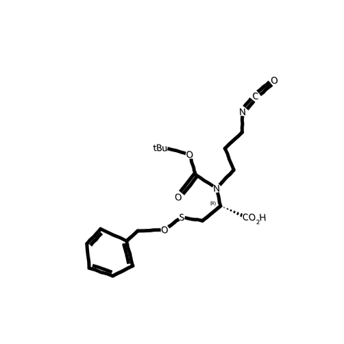 CC(C)(C)OC(=O)N(CCCN=C=O)[C@@H](CSOCc1ccccc1)C(=O)O